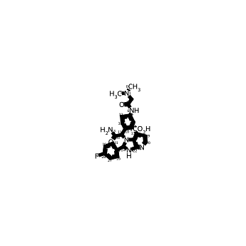 CN(C)CC(=O)Nc1ccc(C(C(N)=O)N2c3c(C(=O)O)ccnc3NC2c2ccc(F)cc2)cc1